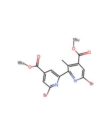 Cc1c(C(=O)OC(C)(C)C)cc(Br)nc1-c1cc(C(=O)OC(C)(C)C)cc(Br)n1